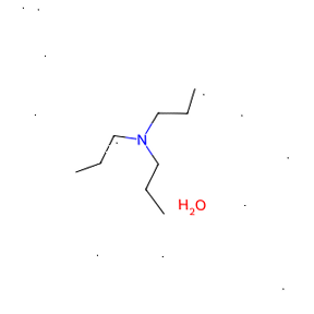 CCCN(CCC)CCC.O